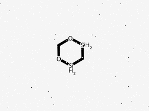 C1O[SiH2]C[SiH2]O1